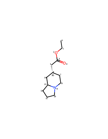 CCOC(=O)C[C@@H]1CCN2CCCC2C1